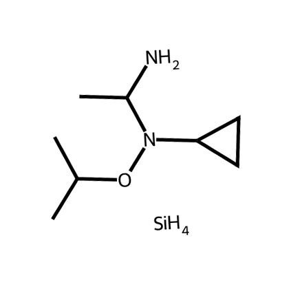 CC(C)ON(C(C)N)C1CC1.[SiH4]